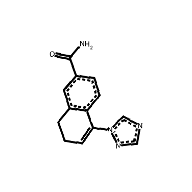 NC(=O)c1ccc2c(c1)CCC=C2n1cncn1